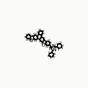 c1ccc(-c2nc(-c3ccccc3)nc(-c3ccc4c(c3)oc3ccc(-c5ccccc5-c5ccc6oc7ccccc7c6c5)cc34)n2)cc1